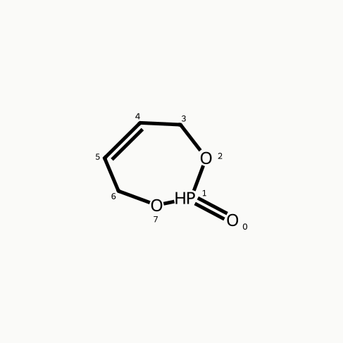 O=[PH]1OCC=CCO1